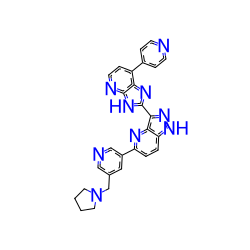 c1cc(-c2ccnc3[nH]c(-c4n[nH]c5ccc(-c6cncc(CN7CCCC7)c6)nc45)nc23)ccn1